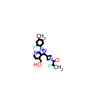 C=C(F)C(=O)N1CC(c2nn(-c3ccc(C)cc3F)c3nccc(CO)c23)C1